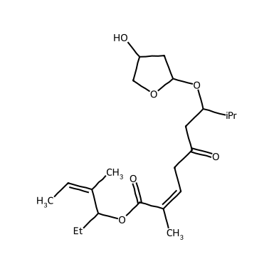 C/C=C(/C)C(CC)OC(=O)/C(C)=C\CC(=O)CC(OC1CC(O)CO1)C(C)C